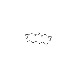 C1OC1CSOSCC1CO1.CCCCCCCC